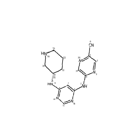 N#Cc1cnc(Nc2cc(N[C@H]3CCCNC3)ncn2)cn1